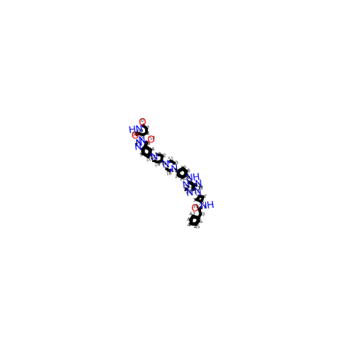 O=C1CC[C@H](n2nnc3ccc(N4CCC(N5CCN(c6ccc(Nc7ncnc8c7ncn8C7CC(NC(=O)Cc8ccccc8)C7)cc6)CC5)CC4)cc3c2=O)C(=O)N1